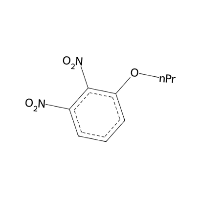 CCCOc1cccc([N+](=O)[O-])c1[N+](=O)[O-]